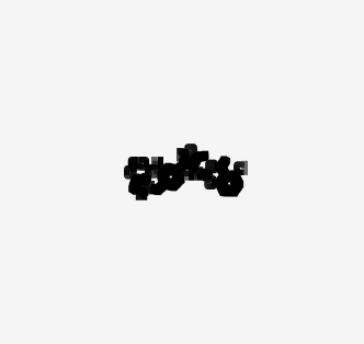 Cc1onc(-c2ccc(Cn3ncc(OC(=O)O)c3C(F)(F)F)cc2)c1NC(=O)OC(C)c1ccccc1Cl